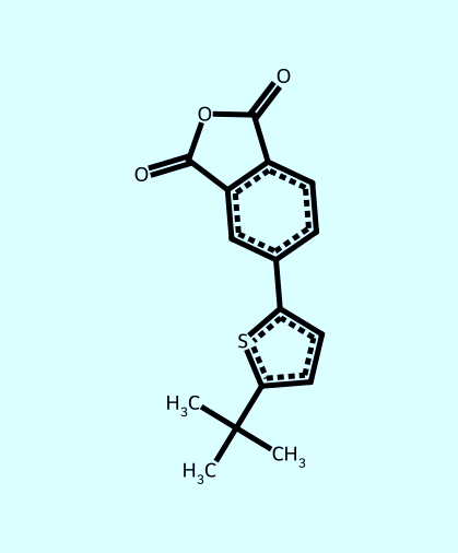 CC(C)(C)c1ccc(-c2ccc3c(c2)C(=O)OC3=O)s1